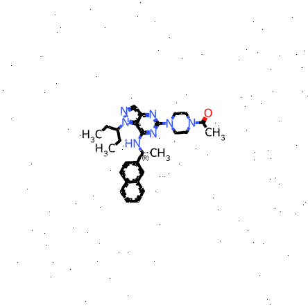 CCC(CC)n1ncc2nc(N3CCN(C(C)=O)CC3)nc(N[C@H](C)c3ccc4ccccc4c3)c21